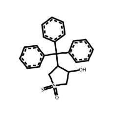 O=S1(=S)CC(O)C(C(c2ccccc2)(c2ccccc2)c2ccccc2)C1